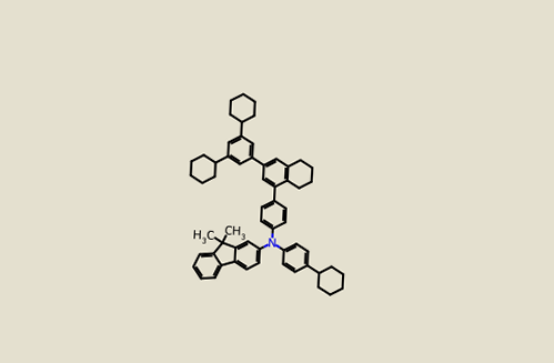 CC1(C)c2ccccc2-c2ccc(N(c3ccc(-c4cc(-c5cc(C6CCCCC6)cc(C6CCCCC6)c5)cc5c4CCCC5)cc3)c3ccc(C4CCCCC4)cc3)cc21